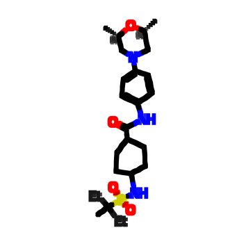 CCC(C)(CC)S(=O)(=O)NC1CCC(C(=O)Nc2ccc(N3C[C@@H](C)O[C@@H](C)C3)cc2)CC1